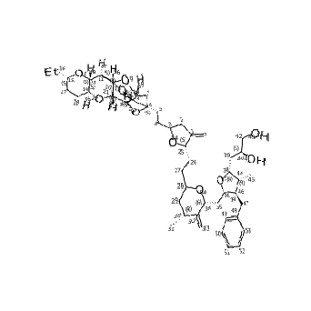 C=C1CC(CC[C@@]23C[C@H]4O[C@H]5[C@@H](O2)[C@H]2O[C@@H](CC)CC[C@@H]2O[C@H]5[C@H]4O3)O[C@H]1CCC1C[C@@H](C)C(=C)[C@@H](CC2O[C@H](C[C@H](O)CO)[C@H](C)[C@H]2Cc2ccccc2)O1